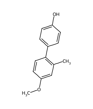 COc1ccc(-c2ccc(O)cc2)c(C)c1